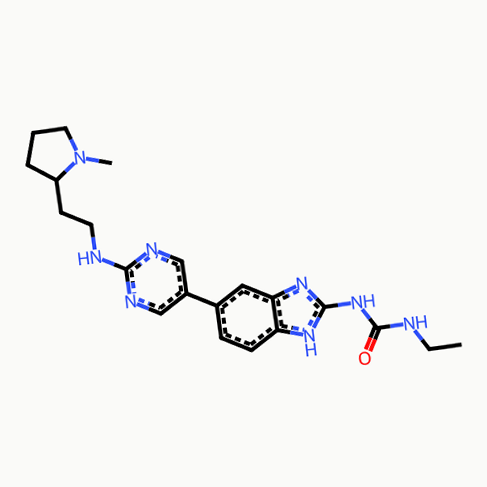 CCNC(=O)Nc1nc2cc(-c3cnc(NCCC4CCCN4C)nc3)ccc2[nH]1